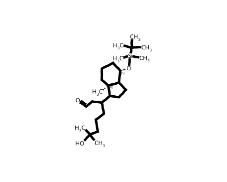 CC(C)(O)CCCC(CC=O)C1CCC2[C@@H](O[Si](C)(C)C(C)(C)C)CCC[C@]12C